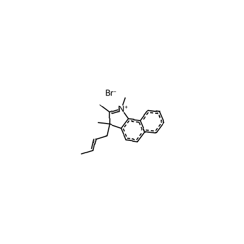 CC=CCC1(C)C(C)=[N+](C)c2c1ccc1ccccc21.[Br-]